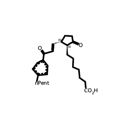 CCCCCc1ccc(C(=O)C=C[C@@H]2CCC(=O)[C@H]2CCCCCCC(=O)O)cc1